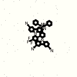 N#Cc1ccc2c(c1)c1cc(C#N)ccc1n2-c1ccc(-c2nc(-c3ccccc3)nc(-c3ccccc3)n2)cc1-c1ccc(C(F)(F)F)cc1-n1c2ccc(C#N)cc2c2cc(C#N)ccc21